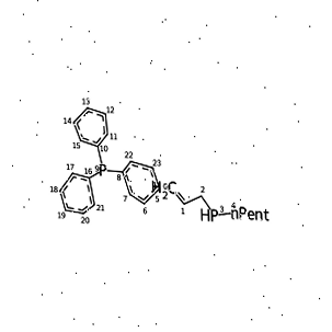 C=CCPCCCCC.c1ccc(P(c2ccccc2)c2ccccc2)cc1